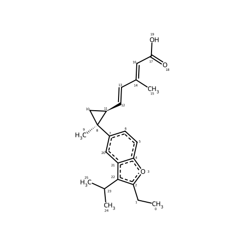 CCc1oc2ccc([C@@]3(C)C[C@H]3/C=C/C(C)=C/C(=O)O)cc2c1C(C)C